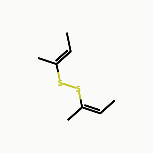 CC=C(C)SSC(C)=CC